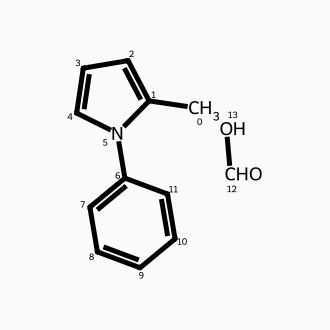 Cc1cccn1-c1ccccc1.O=CO